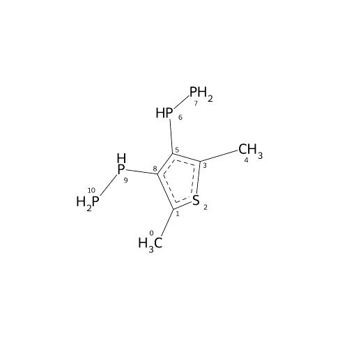 Cc1sc(C)c(PP)c1PP